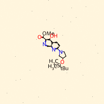 COC(=O)c1ncc2nc(N3CC[C@@H](O[Si](C)(C)C(C)(C)C)C3)ccc2c1O